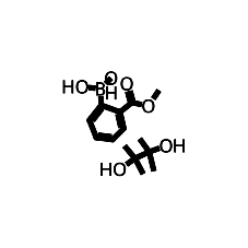 CC(C)(O)C(C)(C)O.COC(=O)c1ccccc1B(O)O